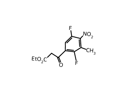 CCOC(=O)CC(=O)c1cc(F)c([N+](=O)[O-])c(C)c1F